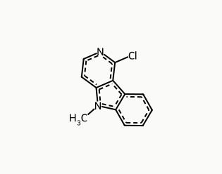 Cn1c2ccccc2c2c(Cl)nccc21